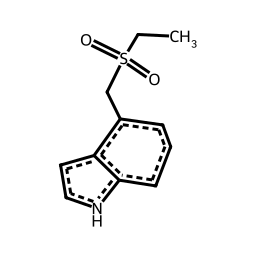 CCS(=O)(=O)Cc1cccc2[nH]ccc12